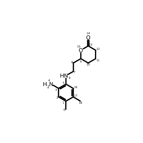 Cc1cc(N)c(NCCC2CCCC(=O)O2)cc1C